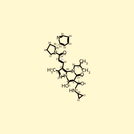 Cc1nn2c(O)c(C(=O)NC3CC3)c(=O)n(CC(C)C)c2c1/C=C/C(=O)N1CCC[C@@H]1c1ccccn1